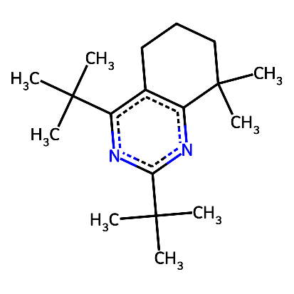 CC(C)(C)c1nc(C(C)(C)C)c2c(n1)C(C)(C)CCC2